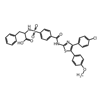 COc1ccc(-c2sc(NC(=O)c3ccc(S(=O)(=O)NC(Cc4ccccc4)C(=O)O)cc3)nc2-c2ccc(Cl)cc2)cc1